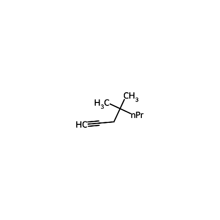 C#CCC(C)(C)CC[CH2]